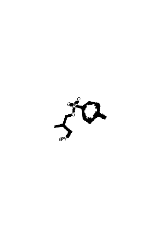 Cc1ccc(S(=O)(=O)OCC(C)CC(C)C)cc1